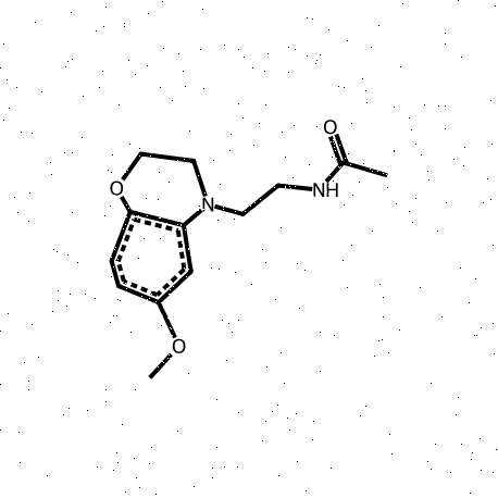 COc1ccc2c(c1)N(CCNC(C)=O)CCO2